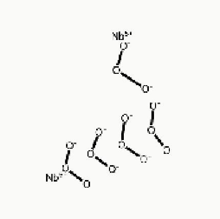 [Nb+5].[Nb+5].[O-]O[O-].[O-]O[O-].[O-]O[O-].[O-]O[O-].[O-]O[O-]